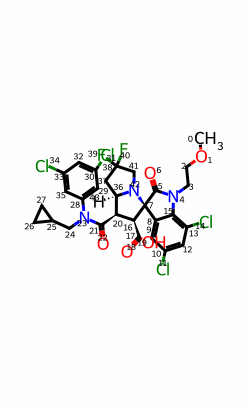 COCCN1C(=O)[C@]2(c3cc(Cl)cc(Cl)c31)[C@@H](C(=O)O)[C@@H](C(=O)N(CC1CC1)c1cc(Cl)cc(Cl)c1)[C@H]1CC(F)(F)CN12